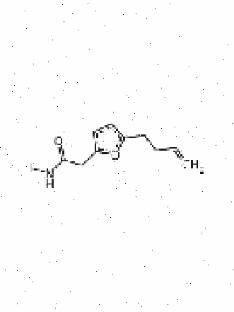 C=CCCc1ccc(CC(=O)NI)o1